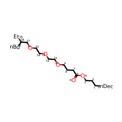 CCCCCCCCCCCCCOC(=O)CCCOCCOCCOCC(CC)CCCC